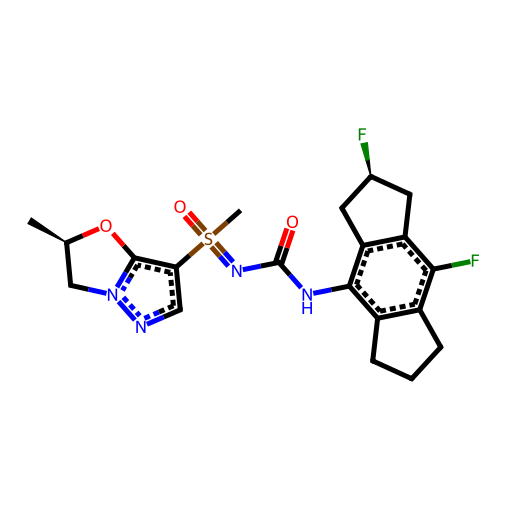 C[C@@H]1Cn2ncc(S(C)(=O)=NC(=O)Nc3c4c(c(F)c5c3C[C@@H](F)C5)CCC4)c2O1